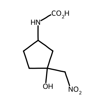 O=C(O)NC1CCC(O)(C[N+](=O)[O-])C1